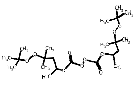 CC(CC(C)(C)OOC(C)(C)C)OC(=O)OOC(=O)OC(C)CC(C)(C)OOC(C)(C)C